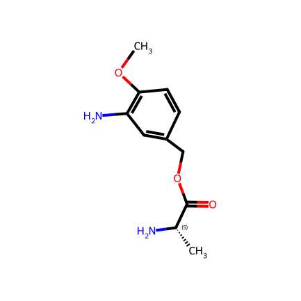 COc1ccc(COC(=O)[C@H](C)N)cc1N